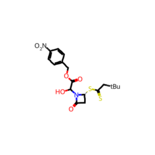 CC(C)(C)CC(=S)S[C@@H]1CC(=O)N1C(O)C(=O)OCc1ccc([N+](=O)[O-])cc1